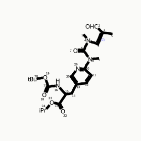 C/C(C=O)=C/N(C)C(=O)N(C)c1ccc(CC(NC(=O)OC(C)(C)C)C(=O)OC(C)C)cn1